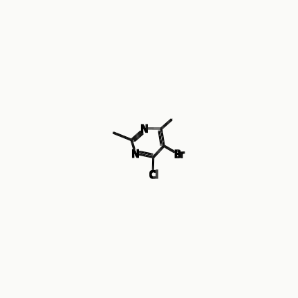 Cc1nc(C)c(Br)c(Cl)n1